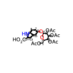 CC(=O)OC[C@H]1OC(Oc2ccc3[nH]c(C(=O)O)cc3c2)[C@H](OC(C)=O)[C@@H](OC(C)=O)[C@H]1OC(C)=O